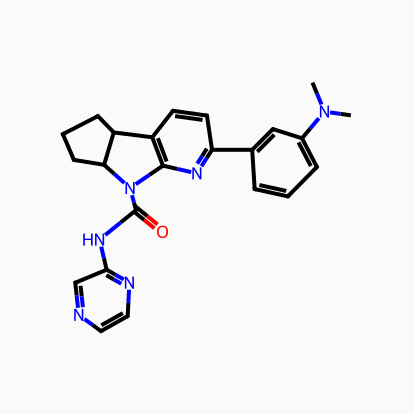 CN(C)c1cccc(-c2ccc3c(n2)N(C(=O)Nc2cnccn2)C2CCCC32)c1